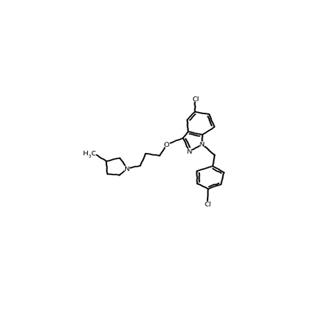 CC1CCN(CCCOc2nn(Cc3ccc(Cl)cc3)c3ccc(Cl)cc23)C1